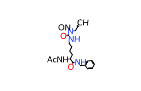 C#CCN(N=O)C(=O)NCCCC[C@H](NC(C)=O)C(=O)NCc1ccccc1